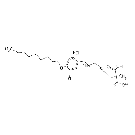 CCCCCCCCCOc1ccc(CNCC#CCC(C)(C(=O)O)C(=O)O)cc1Cl.Cl